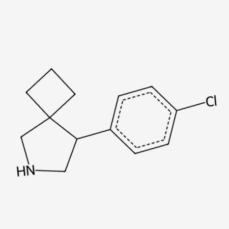 Clc1ccc(C2CNCC23CCC3)cc1